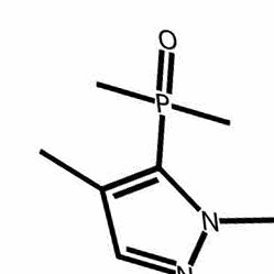 Cc1cnn(C)c1P(C)(C)=O